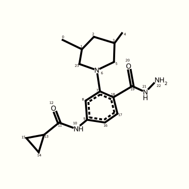 CC1CC(C)CN(c2cc(NC(=O)C3CC3)ccc2C(=O)NN)C1